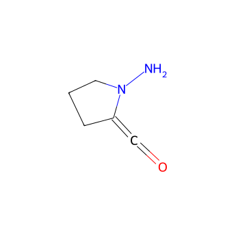 NN1CCCC1=C=O